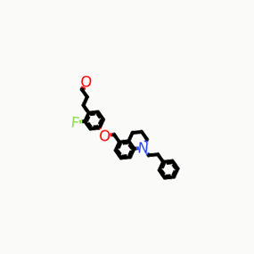 O=CCCc1ccc(OCc2cccc3c2CCCN3CCc2ccccc2)cc1F